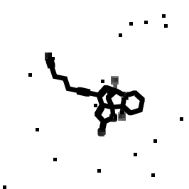 N#CCCCC#CC1=C[C@@H]2CC3(OC(=O)C=C13)[C@H]1CCCCN21